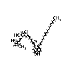 CCCCCCCCCCCCCCCCCCOc1cccc(C(=O)O)c1CCOC(=O)CCC/C=C\C[C@@H]1[C@@H](/C=C/C[C@H](O)C2(CC)CCC2)[C@H](O)C[C@H]1Cl